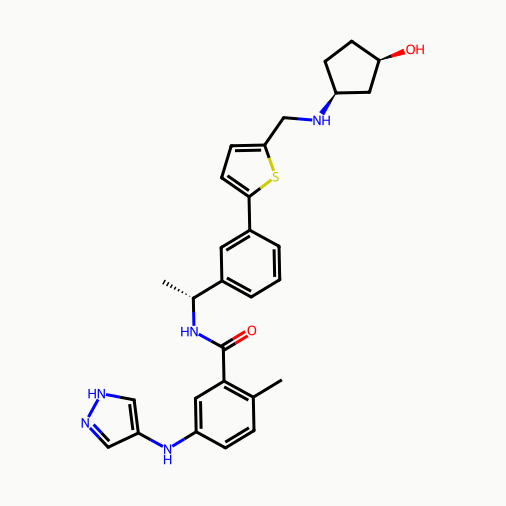 Cc1ccc(Nc2cn[nH]c2)cc1C(=O)N[C@H](C)c1cccc(-c2ccc(CN[C@H]3CC[C@@H](O)C3)s2)c1